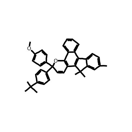 COc1ccc(C2(c3ccc(C(C)(C)C)cc3)C=Cc3c4c(c5ccccc5c3O2)-c2ccc(C)cc2C4(C)C)cc1